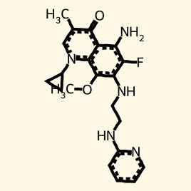 COc1c(NCCNc2ccccn2)c(F)c(N)c2c(=O)c(C)cn(C3CC3)c12